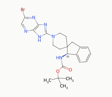 CC(C)(C)OC(=O)N[C@@H]1c2ccccc2CC12CCN(c1nc3nc(Br)cnc3[nH]1)CC2